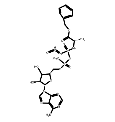 COP(=O)(OC[C@H]1O[C@@H](n2cnc3c(N)ncnc32)[C@@H](O)C1O)OP(=O)(N=[PH]=O)N[C@@H](C)C(=O)OCc1ccccc1